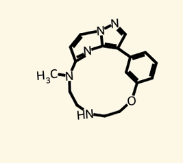 CN1CCNCCOc2cccc(c2)-c2cnn3ccc1nc23